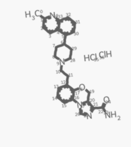 Cc1ccc2c(C3CCN(CCc4cccc5c4OCc4c(C(N)=O)ncn4-5)CC3)cccc2n1.Cl.Cl